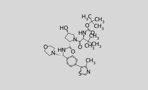 Cc1ncsc1-c1ccc([C@H](CN2CCOCC2)NC(=O)[C@@H]2C[C@@H](O)CN2C(=O)[C@@H](NC(=O)OC(C)(C)C)C(C)(C)C)cc1